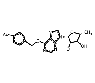 CC(=O)c1ccc(COc2ncnc3c2ncn3[C@@H]2O[C@H](C)[C@@H](O)[C@H]2O)cc1